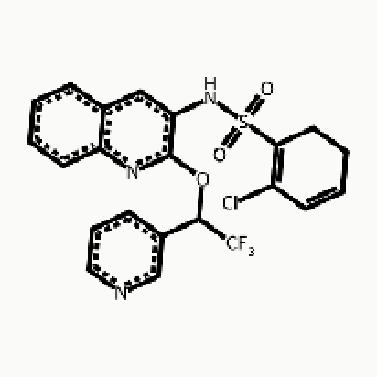 O=S(=O)(Nc1cc2ccccc2nc1OC(c1cccnc1)C(F)(F)F)C1=C(Cl)C=CCC1